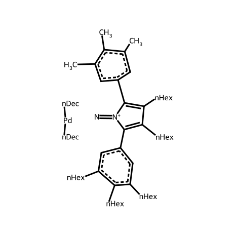 CCCCCCC1=C(c2cc(C)c(C)c(C)c2)[N+](=[N-])C(c2cc(CCCCCC)c(CCCCCC)c(CCCCCC)c2)=C1CCCCCC.CCCCCCCCC[CH2][Pd][CH2]CCCCCCCCC